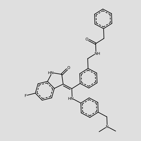 CN(C)Cc1ccc(NC(=C2C(=O)Nc3cc(F)ccc32)c2cccc(CNC(=O)Cc3ccccc3)c2)cc1